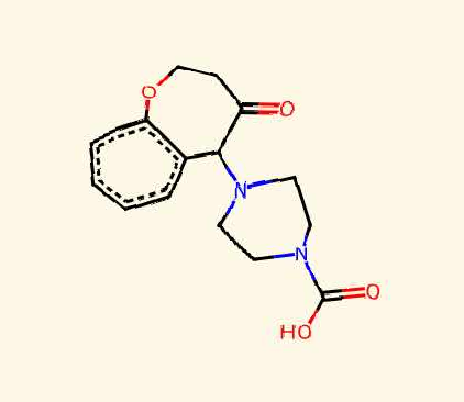 O=C1CCOc2ccccc2C1N1CCN(C(=O)O)CC1